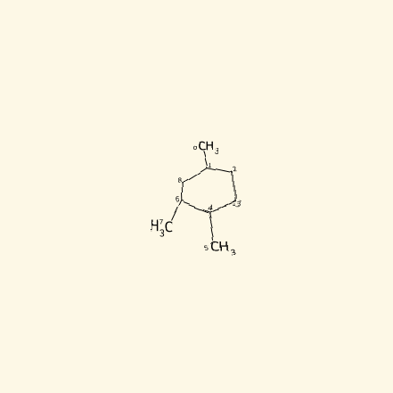 CC1C[CH]C(C)C(C)C1